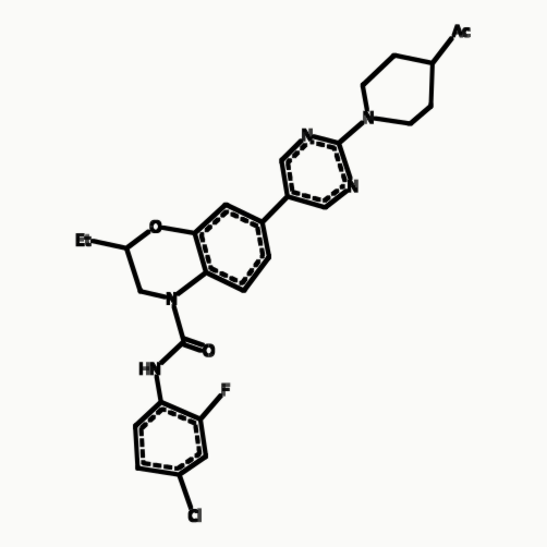 CCC1CN(C(=O)Nc2ccc(Cl)cc2F)c2ccc(-c3cnc(N4CCC(C(C)=O)CC4)nc3)cc2O1